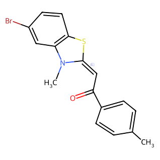 Cc1ccc(C(=O)/C=C2/Sc3ccc(Br)cc3N2C)cc1